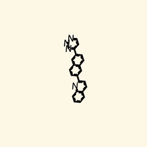 c1ccc2nc(-c3ccc4cc(-c5ccnnn5)ccc4c3)ccc2c1